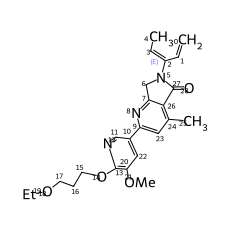 C=C/C(=C\C)N1Cc2nc(-c3cnc(OCCCOCC)c(OC)c3)cc(C)c2C1=O